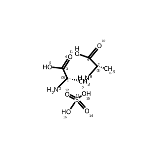 C[C@H](N)C(=O)O.C[C@H](N)C(=O)O.O=S(=O)(O)O